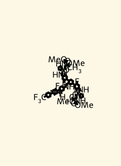 COC(=O)N[C@H](C(=O)N1CCC[C@H]1c1nc2cc(-c3ccc(-c4cc5nc([C@@H]6CCCN6C(=O)[C@@H](NC(=O)OC)C(C)OC)[nH]c5cc4F)c(CNc4cc(F)c(N5CCN(c6ccc(C(F)(F)F)cc6)CC5)c(F)c4)c3)c(F)cc2[nH]1)C(C)OC